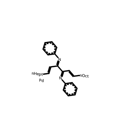 CCCCCCC/C=C/C(=N\c1ccccc1)C(C=CCCCCCCCC)=Nc1ccccc1.[Pd]